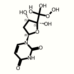 O=c1ccn([C@H]2C[C@H](O)[C@@](O)(C(O)(O)OO)O2)c(=O)[nH]1